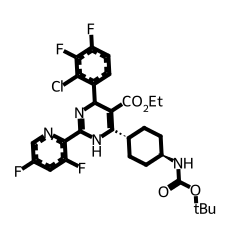 CCOC(=O)C1=C([C@H]2CC[C@H](NC(=O)OC(C)(C)C)CC2)NC(c2ncc(F)cc2F)=NC1c1ccc(F)c(F)c1Cl